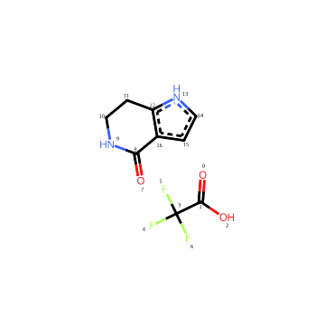 O=C(O)C(F)(F)F.O=C1NCCc2[nH]ccc21